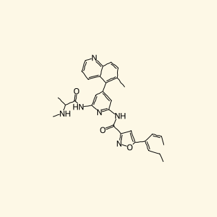 C/C=C\C(=C/CC)c1cc(C(=O)Nc2cc(-c3c(C)ccc4ncccc34)cc(NC(=O)C(C)NC)n2)no1